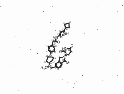 CN(Cc1ccc2c(c1)CN(N1CCC(=O)NC1=O)C2=O)C1CCN(c2ccc(CC(=O)Nc3cc(C4CCC4)[nH]n3)cc2)CC1